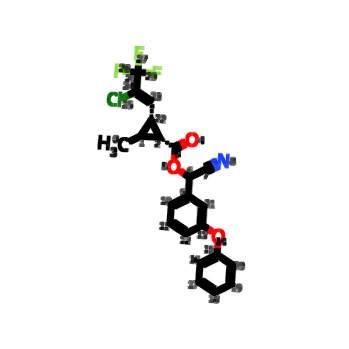 CC1[C@@H](C(=O)OC(C#N)c2cccc(Oc3ccccc3)c2)[C@H]1/C=C(\Cl)C(F)(F)F